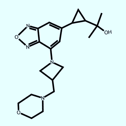 CC(C)(O)C1CC1c1cc(N2CC(CN3CCOCC3)C2)c2nonc2c1